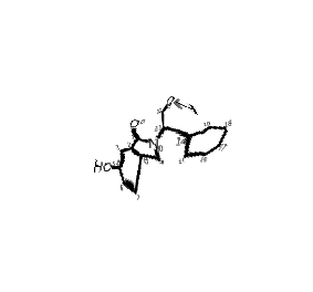 O=C1c2cc(O)ccc2CN1[C@@H](CO)C1CCCCC1